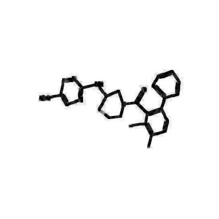 CSc1cnc(NC2CCCN(C(=O)c3c(-c4ccccc4)ccc(C)c3C)C2)nc1